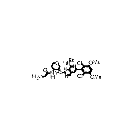 C=CC(=O)N[C@H]1CCOC[C@H]1Nc1ncc2cc(-c3c(Cl)c(OC)cc(OC)c3Cl)nc(NCC)c2n1